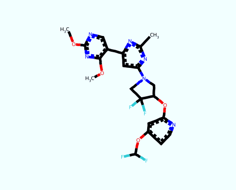 COc1ncc(-c2cc(N3CC(Oc4cc(OC(F)F)ccn4)C(F)(F)C3)nc(C)n2)c(OC)n1